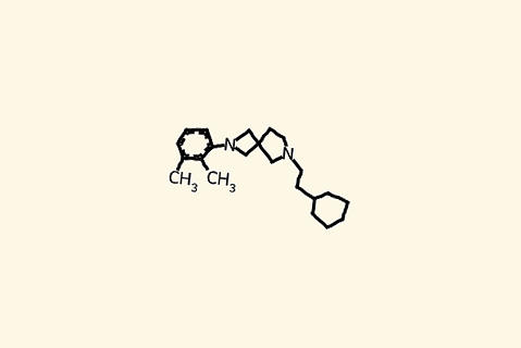 Cc1cccc(N2CC3(CCN(CCC4CCCCC4)C3)C2)c1C